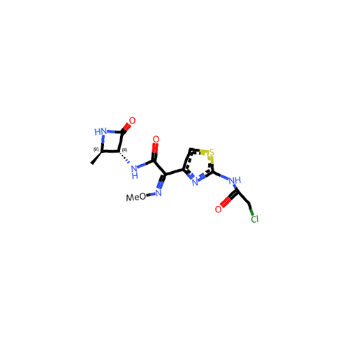 CON=C(C(=O)N[C@H]1C(=O)N[C@@H]1C)c1csc(NC(=O)CCl)n1